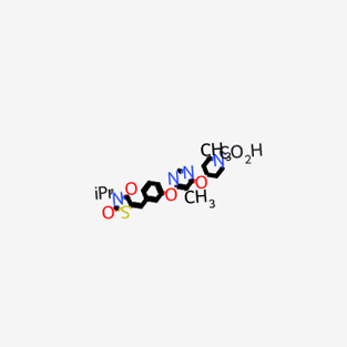 Cc1c(Oc2cccc(C=C3SC(=O)N(C(C)C)C3=O)c2)ncnc1OC1CCN(C(=O)O)C(C)C1